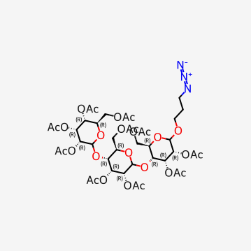 CC(=O)OC[C@H]1OC(O[C@H]2[C@@H](OC(C)=O)[C@@H](OC(C)=O)C(O[C@H]3[C@@H](OC(C)=O)[C@@H](OC(C)=O)C(OCCCN=[N+]=[N-])O[C@@H]3COC(C)=O)O[C@@H]2COC(C)=O)[C@H](OC(C)=O)[C@H](OC(C)=O)[C@@H]1OC(C)=O